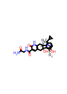 Cc1ccc(O)cc1[C@@]1(C)Cc2[nH]c(=O)c(C(=O)NCC(N)=O)cc2C[C@@]1(O)[C@H]1C(C)CN1CC1CC1